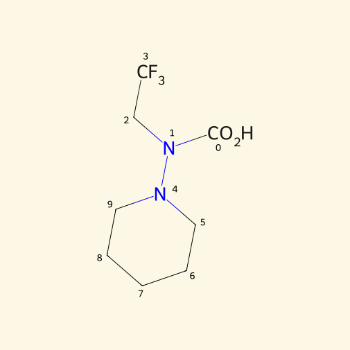 O=C(O)N(CC(F)(F)F)N1CCCCC1